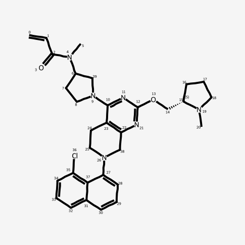 C=CC(=O)N(C)C1CCN(c2nc(OC[C@@H]3CCCN3C)nc3c2CCN(c2cccc4cccc(Cl)c24)C3)C1